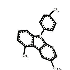 Cc1cccc2c1c1cc(C(=O)O)cnc1n2-c1ccc(C(F)(F)F)cc1